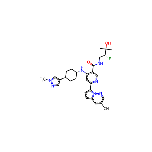 CC(C)(O)[C@H](F)CNC(=O)c1cnc(-c2ccc3cc(C#N)cnn23)cc1N[C@H]1CC[C@H](c2cnn(C(F)(F)F)c2)CC1